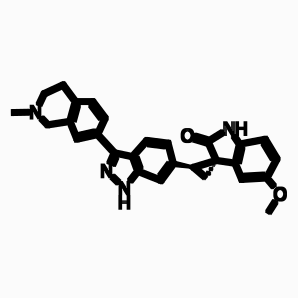 COc1ccc2c(c1)[C@]1(C[C@H]1c1ccc3c(-c4ccc5c(c4)CN(C)CC5)n[nH]c3c1)C(=O)N2